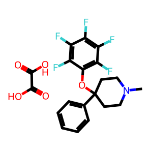 CN1CCC(Oc2c(F)c(F)c(F)c(F)c2F)(c2ccccc2)CC1.O=C(O)C(=O)O